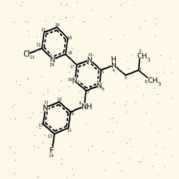 CC(C)CNc1nc(Nc2cncc(F)c2)nc(-c2cccc(Cl)n2)n1